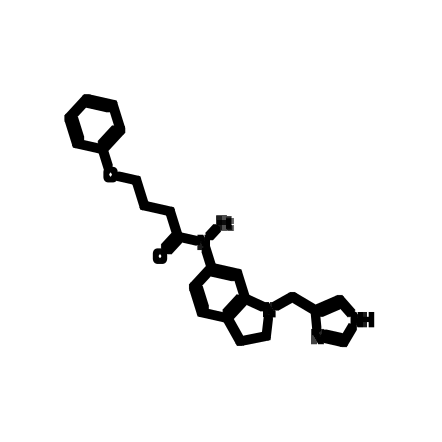 CCN(C(=O)CCCOc1ccccc1)c1ccc2c(c1)N(Cc1c[nH]cn1)CC2